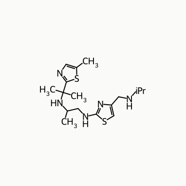 Cc1cnc(C(C)(C)NC(C)CNc2nc(CNC(C)C)cs2)s1